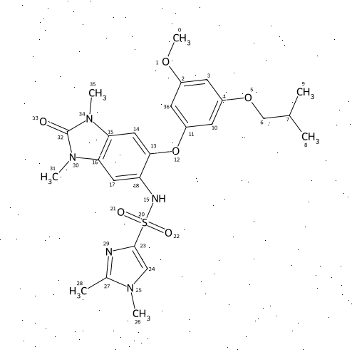 COc1cc(OCC(C)C)cc(Oc2cc3c(cc2NS(=O)(=O)c2cn(C)c(C)n2)n(C)c(=O)n3C)c1